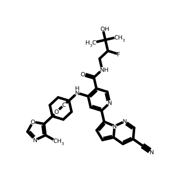 Cc1ncoc1C12CCC(Nc3cc(-c4ccc5cc(C#N)cnn45)ncc3C(=O)NCC(F)C(C)(C)O)(CC1)CO2